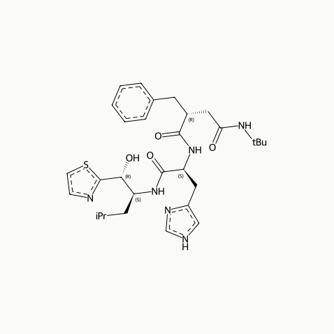 CC(C)C[C@H](NC(=O)[C@H](Cc1c[nH]cn1)NC(=O)[C@@H](CC(=O)NC(C)(C)C)Cc1ccccc1)[C@@H](O)c1nccs1